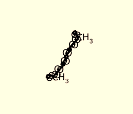 C[C@H](COC1CCCCO1)OC(=O)CCC(=O)OCCc1ccc(OC(=O)C2CCC(C(=O)Oc3ccc(CCOC(=O)CCC(=O)O[C@H](C)COC4CCCCO4)cc3)CC2)cc1